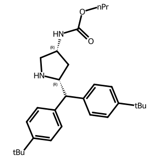 CCCOC(=O)N[C@H]1CN[C@@H](C(c2ccc(C(C)(C)C)cc2)c2ccc(C(C)(C)C)cc2)C1